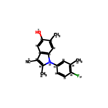 Cc1cc2c(cc1O)c(C#N)c(C)n2-c1ccc(F)c(C)c1